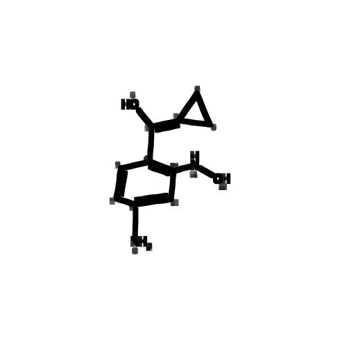 Nc1ccc(C(O)=C2CC2)c(NO)c1